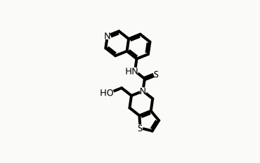 OCC1Cc2sccc2CN1C(=S)Nc1cccc2cnccc12